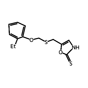 CCc1ccccc1OCSCc1c[nH]c(=S)o1